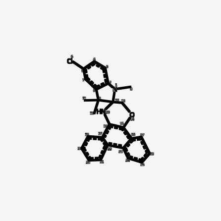 CN1c2ccc(Cl)cc2C(C)(C)C12COc1c(c3ccccc3c3ccccc13)N2